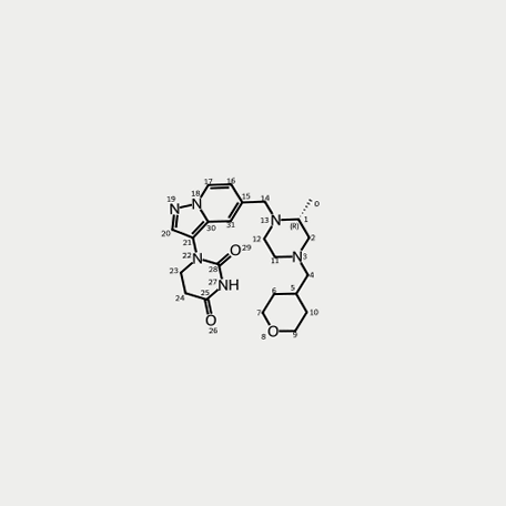 C[C@@H]1CN(CC2CCOCC2)CCN1Cc1ccn2ncc(N3CCC(=O)NC3=O)c2c1